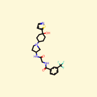 O=C(CNC(=O)c1cccc(C(F)(F)F)c1)NC1CCN(C2CCC(O)(c3ccns3)CC2)C1